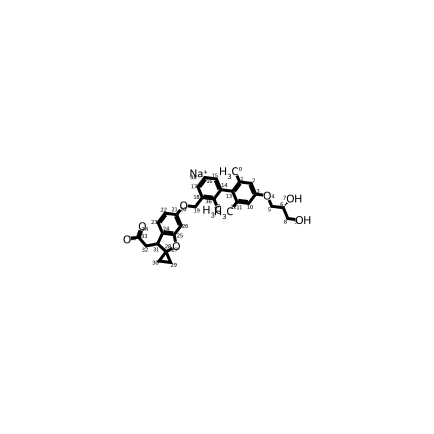 Cc1cc(OC[C@H](O)CO)cc(C)c1-c1cccc(COc2ccc3c(c2)OC2(CC2)C3CC(=O)[O-])c1C.[Na+]